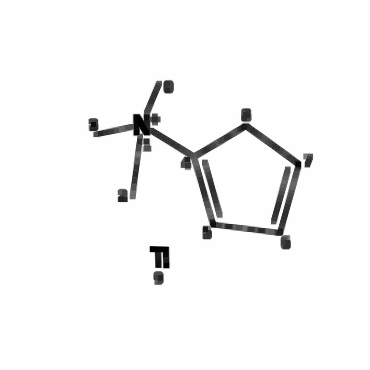 C[N+](C)(C)C1=CC=CC1.[Ti]